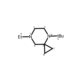 CCN1CCN(C(C)(C)C)C2(CC2)C1